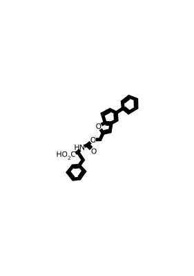 O=C(NC(Cc1ccccc1)C(=O)O)OCc1cc2cc(-c3ccccc3)ccc2o1